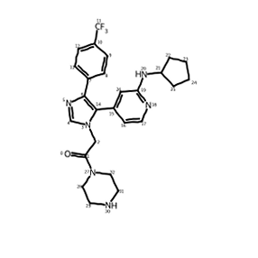 O=C(Cn1cnc(-c2ccc(C(F)(F)F)cc2)c1-c1ccnc(NC2CCCC2)c1)N1CCNCC1